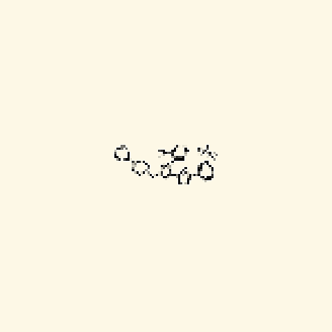 CS(=O)(=O)c1cccc(-c2ccc(-c3cc(CN4CCN(c5ccccc5)CC4)nn3-c3ccccc3Cl)s2)c1